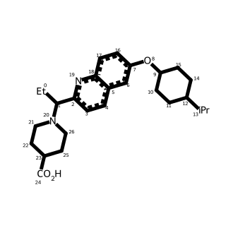 CCC(c1ccc2cc(OC3CCC(C(C)C)CC3)ccc2n1)N1CCC(C(=O)O)CC1